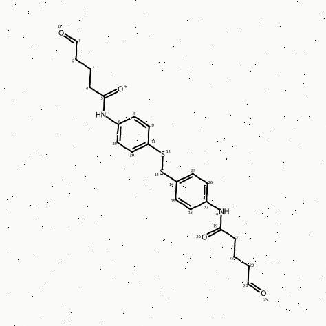 O=CCCCC(=O)Nc1ccc(SSc2ccc(NC(=O)CCCC=O)cc2)cc1